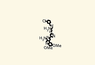 COc1cc2ncc3c(N)nc(-c4cncc(OC[C@@H](N)CN(C)Cc5cccc(Cl)c5)c4)cc3c2cc1OC